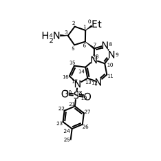 CC[C@@H]1C[C@H](N)C[C@@H]1c1nnc2cnc3c(ccn3S(=O)(=O)c3ccc(C)cc3)n12